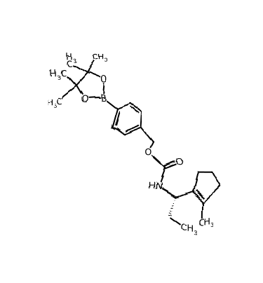 CC[C@H](NC(=O)OCc1ccc(B2OC(C)(C)C(C)(C)O2)cc1)C1=C(C)CCC1